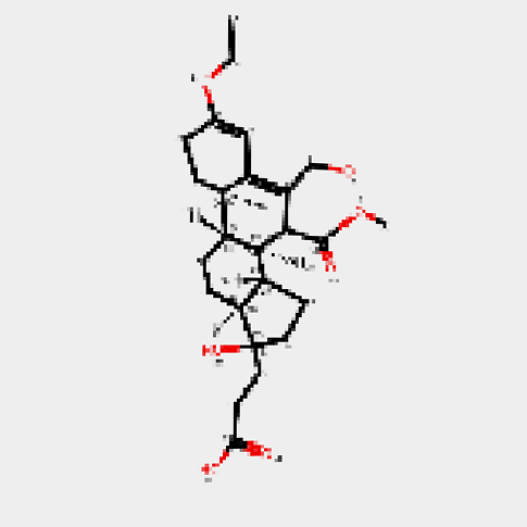 CCOC1=CC2=C(CO)C(C(=O)OC)[C@@H]3[C@H](CC[C@@]4(C)[C@H]3CC[C@]4(O)CCC(=O)O)[C@@]2(C)CC1